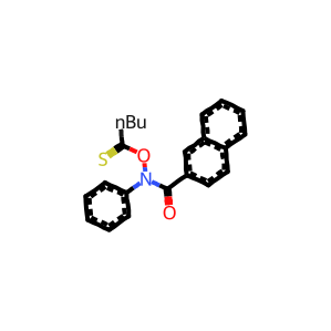 CCCCC(=S)ON(C(=O)c1ccc2ccccc2c1)c1ccccc1